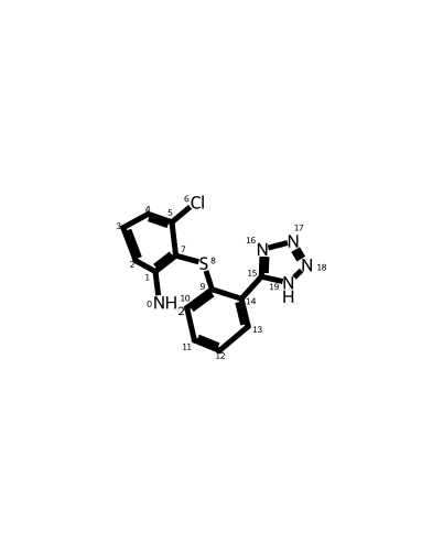 Nc1cccc(Cl)c1Sc1ccccc1-c1nnn[nH]1